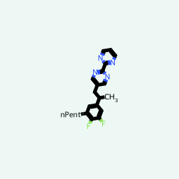 CCCCCc1cc(C(C)Cc2cnc(-c3ncccn3)nc2)cc(F)c1F